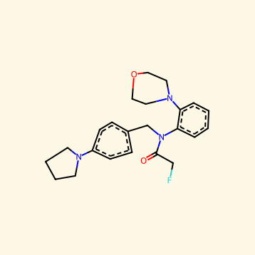 O=C(CF)N(Cc1ccc(N2CCCC2)cc1)c1ccccc1N1CCOCC1